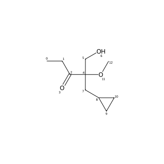 CCC(=O)C(CO)(CC1CC1)OC